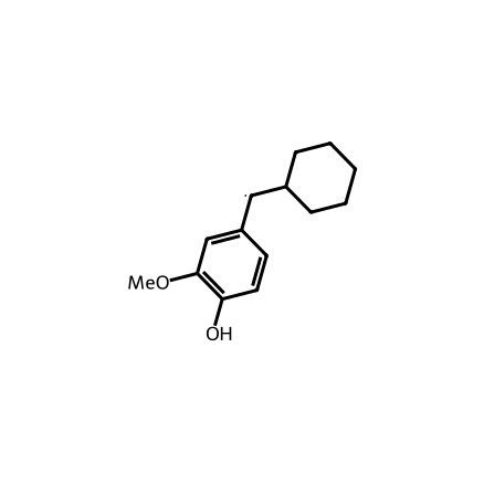 COc1cc([CH]C2CCCCC2)ccc1O